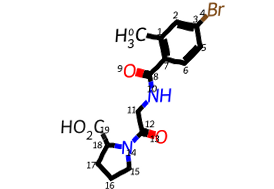 Cc1cc(Br)ccc1C(=O)NCC(=O)N1CCCC1C(=O)O